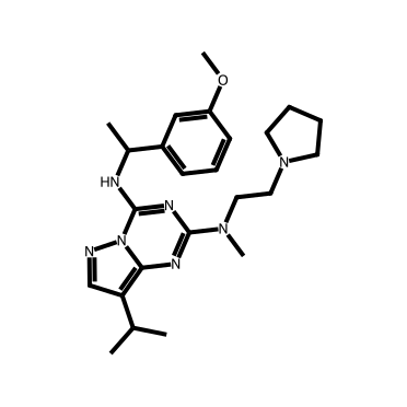 COc1cccc(C(C)Nc2nc(N(C)CCN3CCCC3)nc3c(C(C)C)cnn23)c1